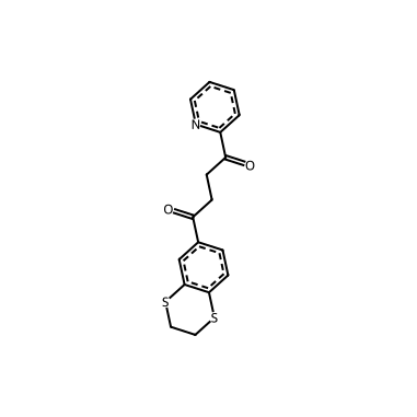 O=C(CCC(=O)c1ccccn1)c1ccc2c(c1)SCCS2